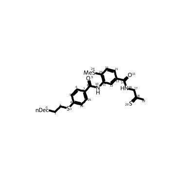 CCCCCCCCCCCCSc1ccc(C(=O)Nc2cc(C(=O)NCC(C)=S)ccc2SC)cc1